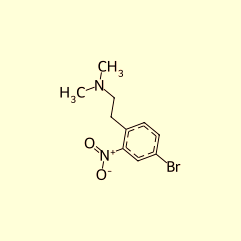 CN(C)CCc1ccc(Br)cc1[N+](=O)[O-]